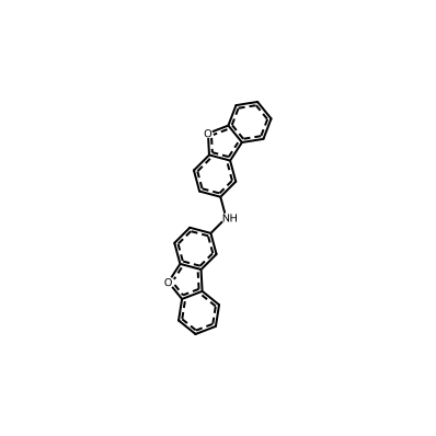 c1ccc2c(c1)oc1ccc(Nc3ccc4oc5ccccc5c4c3)cc12